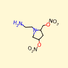 NCCN1CC(O[N+](=O)[O-])CC1CO[N+](=O)[O-]